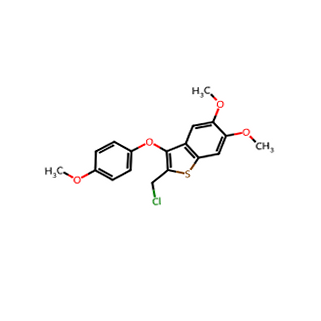 COc1ccc(Oc2c(CCl)sc3cc(OC)c(OC)cc23)cc1